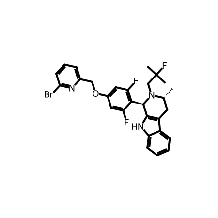 C[C@@H]1Cc2c([nH]c3ccccc23)[C@@H](c2c(F)cc(OCc3cccc(Br)n3)cc2F)N1CC(C)(C)F